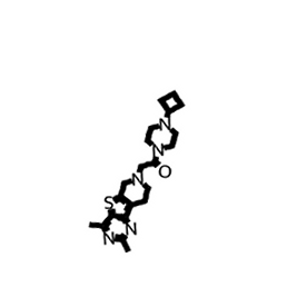 Cc1nc(C)c2sc3c(c2n1)CCN(CC(=O)N1CCN(C2CCC2)CC1)C3